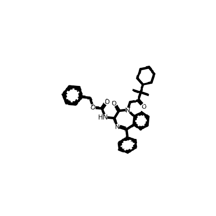 CC(C)(C(=O)CN1C(=O)C(NC(=O)OCc2ccccc2)N=C(c2ccccc2)c2ccccc21)C1CCCCC1